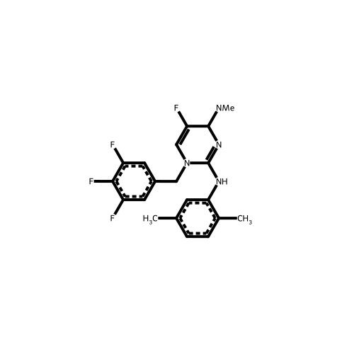 CNC1N=C(Nc2cc(C)ccc2C)N(Cc2cc(F)c(F)c(F)c2)C=C1F